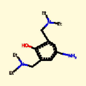 CCN(CC)Cc1cc(N)cc(CN(CC)CC)c1O